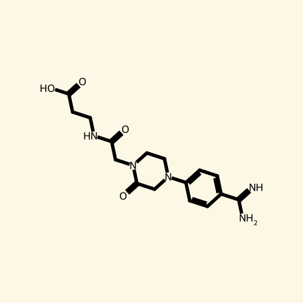 N=C(N)c1ccc(N2CCN(CC(=O)NCCC(=O)O)C(=O)C2)cc1